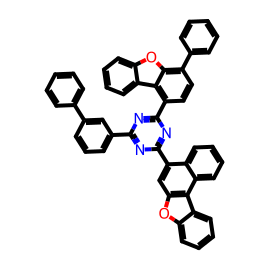 c1ccc(-c2cccc(-c3nc(-c4cc5oc6ccccc6c5c5ccccc45)nc(-c4ccc(-c5ccccc5)c5oc6ccccc6c45)n3)c2)cc1